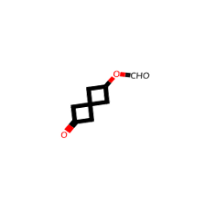 O=COC1CC2(CC(=O)C2)C1